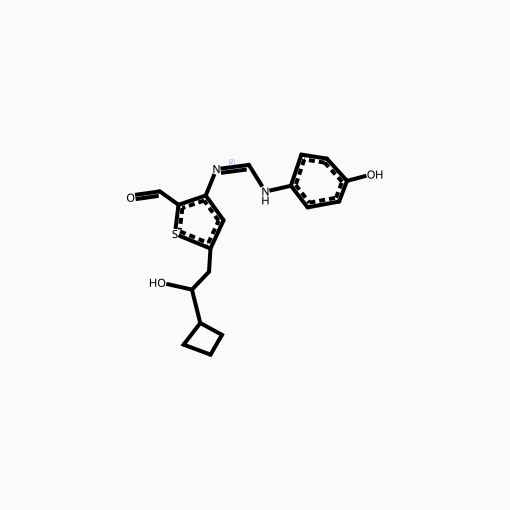 O=Cc1sc(CC(O)C2CCC2)cc1/N=C\Nc1ccc(O)cc1